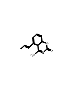 C/C=C/C1=CC=CC2NC(=O)N=C(N)C12